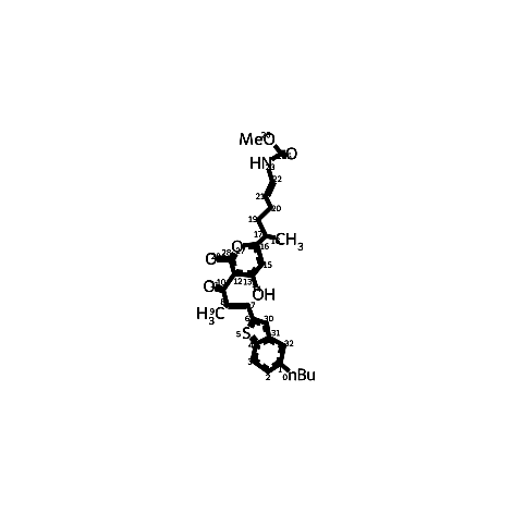 CCCCc1ccc2sc(/C=C(\C)C(=O)c3c(O)cc(C(C)CC/C=C/NC(=O)OC)oc3=O)cc2c1